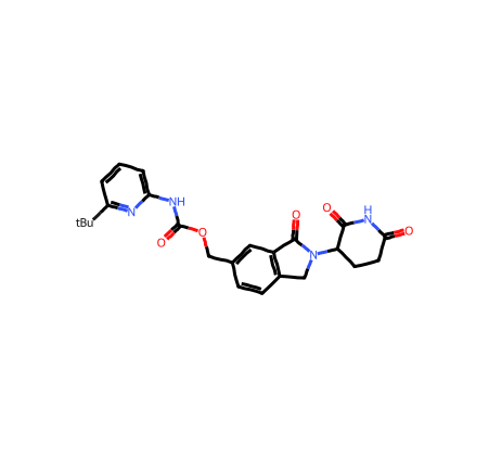 CC(C)(C)c1cccc(NC(=O)OCc2ccc3c(c2)C(=O)N(C2CCC(=O)NC2=O)C3)n1